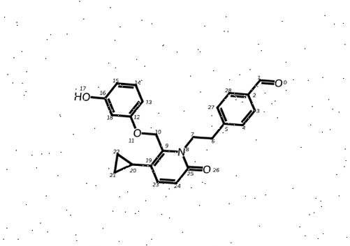 O=Cc1ccc(CCn2c(COc3cccc(O)c3)c(C3CC3)ccc2=O)cc1